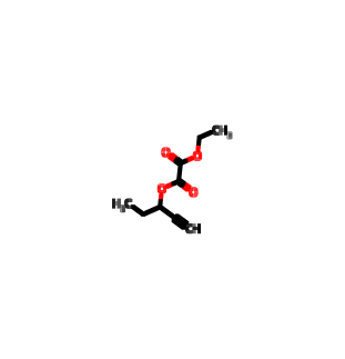 C#CC(CC)OC(=O)C(=O)OCC